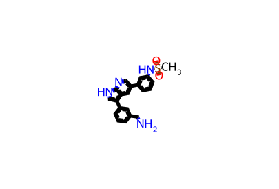 CS(=O)(=O)Nc1cccc(-c2cnc3[nH]cc(-c4cccc(CN)c4)c3c2)c1